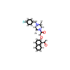 CC(=O)c1c(OCC(=O)N2C[C@H](C)N(Cc3ccc(F)cc3)C[C@H]2C)ccc2ccccc12